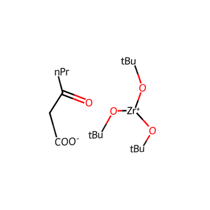 CC(C)(C)[O][Zr+]([O]C(C)(C)C)[O]C(C)(C)C.CCCC(=O)CC(=O)[O-]